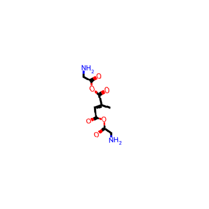 C/C(=C\C(=O)OC(=O)CN)C(=O)OC(=O)CN